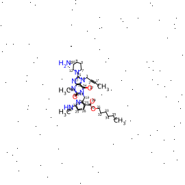 CC#CCn1c(N2CCC[C@@H](N)C2)nc2c1c(=O)n(Cc1nc(NC)ccc1C(=O)OCCCCCC)c(=O)n2C